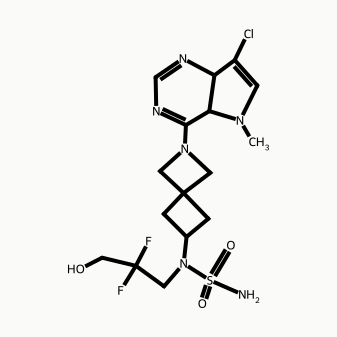 CN1C=C(Cl)C2N=CN=C(N3CC4(CC(N(CC(F)(F)CO)S(N)(=O)=O)C4)C3)C21